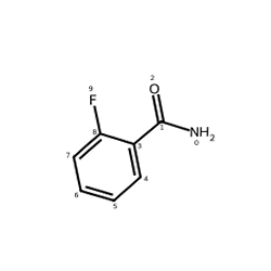 NC(=O)c1ccccc1F